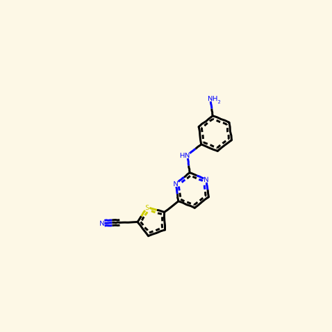 N#Cc1ccc(-c2ccnc(Nc3cccc(N)c3)n2)s1